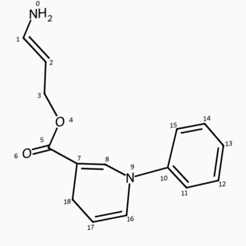 NC=CCOC(=O)C1=CN(c2ccccc2)C=CC1